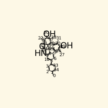 Cc1ccc(-c2ccc3c(c2)NC(=O)C3(c2cc(C)c(O)c(C)c2)c2cc(C)c(O)c(C)c2)cc1